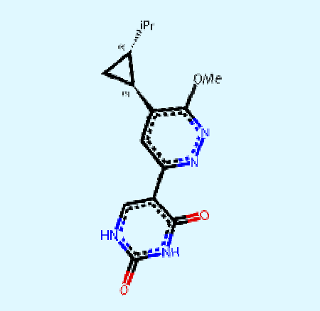 COc1nnc(-c2c[nH]c(=O)[nH]c2=O)cc1[C@H]1C[C@@H]1C(C)C